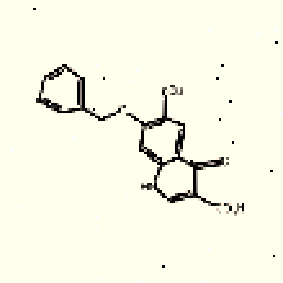 CCCCc1cc2c(=O)c(C(=O)O)c[nH]c2cc1OCc1ccccc1